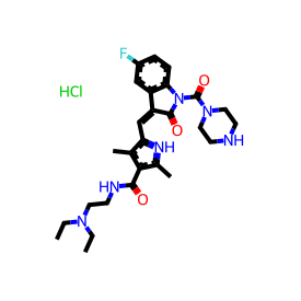 CCN(CC)CCNC(=O)c1c(C)[nH]c(C=C2C(=O)N(C(=O)N3CCNCC3)c3ccc(F)cc32)c1C.Cl